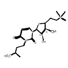 C=P(C)(C)CCC1OC(n2ccc(=O)n(CCC(C)C(=O)O)c2=O)[C@H](O)[C@@H]1O